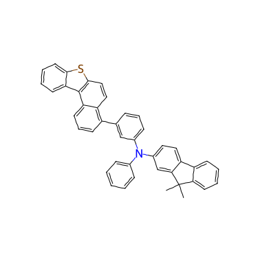 CC1(C)c2ccccc2-c2ccc(N(c3ccccc3)c3cccc(-c4cccc5c4ccc4sc6ccccc6c45)c3)cc21